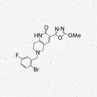 COc1nnc(-c2cc3c([nH]c2=O)CCN(Cc2cc(F)ccc2Br)C3)o1